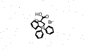 COC(C[P+](c1ccccc1)(c1ccccc1)c1ccccc1)C(=O)O.[Br-]